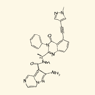 C[C@H](NC(=O)c1c(N)nn2ccncc12)c1nc2cccc(C#Cc3cnn(C)c3)c2c(=O)n1-c1ccccc1